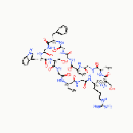 CC(C)C[C@H](NC(=O)CNC(=O)[C@H](CO)NC(=O)[C@H](Cc1c[nH]c2ccccc12)NC(=O)CNC(=O)[C@H](Cc1ccccc1)NC(=O)CNC(=O)CNC(=O)[C@H](CC(C)C)NC(=O)CNC(=O)[C@H](CC(C)C)NC(=O)[C@@H](N)CO)C(=O)NCC(=O)N[C@@H](CCCNC(=N)N)C(=O)O